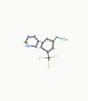 FC(F)(F)c1cccc(CCl)c1.c1ccncc1